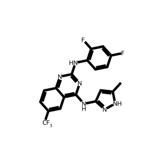 Cc1cc(Nc2nc(Nc3ccc(F)cc3F)nc3ccc(C(F)(F)F)cc23)n[nH]1